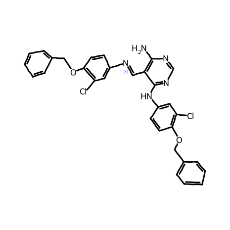 Nc1ncnc(Nc2ccc(OCc3ccccc3)c(Cl)c2)c1/C=N/c1ccc(OCc2ccccc2)c(Cl)c1